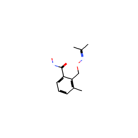 CC(C)=NOCc1c(C)cccc1C(=O)NO